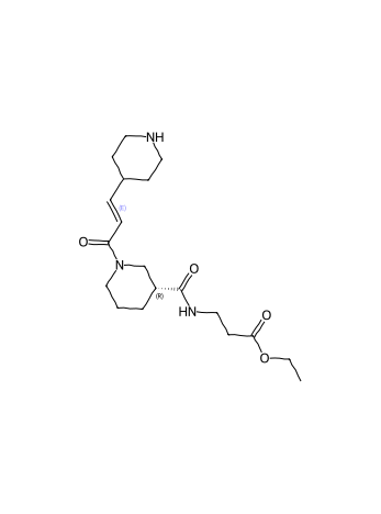 CCOC(=O)CCNC(=O)[C@@H]1CCCN(C(=O)/C=C/C2CCNCC2)C1